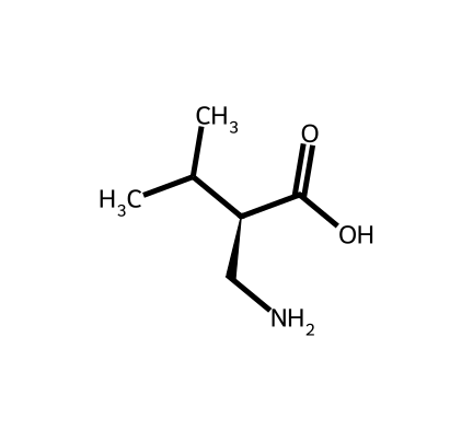 CC(C)[C@H](CN)C(=O)O